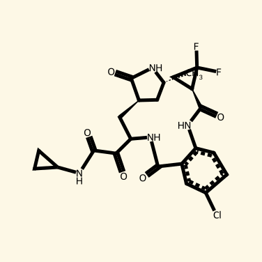 C[C@@H]1C[C@@H](CC(NC(=O)c2cc(Cl)ccc2NC(=O)[C@H]2CC2(F)F)C(=O)C(=O)NC2CC2)C(=O)N1